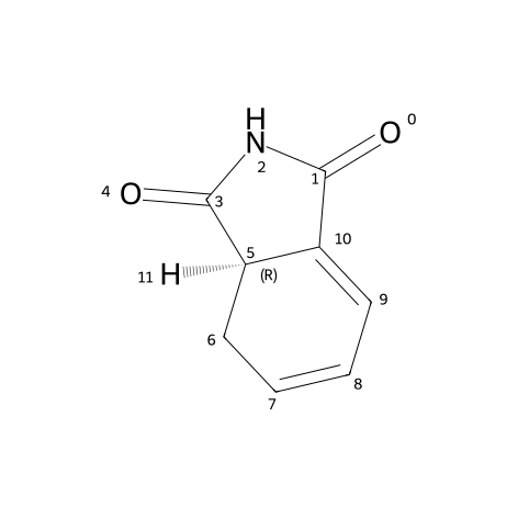 O=C1NC(=O)[C@@H]2CC=CC=C12